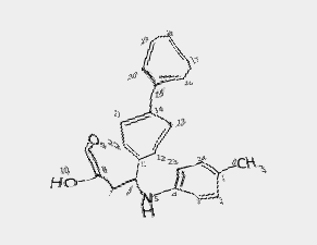 Cc1ccc(NC(CC(=O)O)c2ccc(-c3ccccc3)cc2)cc1